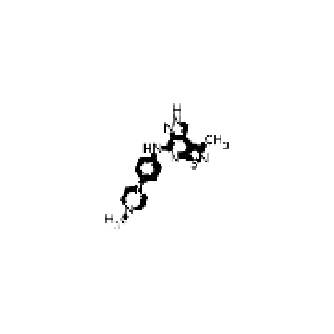 Cc1nsc2nc(Nc3ccc(N4CCN(C)CC4)cc3)c3n[nH]cc3c12